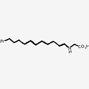 CC(C)CCCCCCCCCCCNCC(=O)O